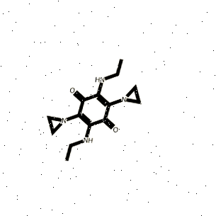 CCNC1=C(N2CC2)C(=O)C(NCC)=C(N2CC2)C1=O